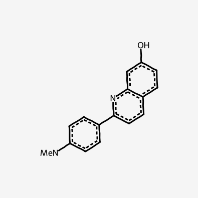 CNc1ccc(-c2ccc3ccc(O)cc3n2)cc1